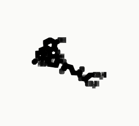 CN1CC23Cc4ccc(O)c5c4[C@@]4(C2)[C@@H](O5)C(OC(=O)CCC(=O)O[C@@H](CC(=O)O)C(=O)O)=CC[C@@]4(O)[C@H]13